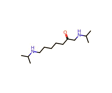 CC(C)NCCCCCC(=O)CNC(C)C